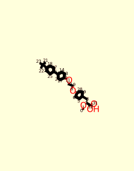 CO[C@@H](Cc1ccc(OCCOc2ccc(-c3ccc(C(C)(C)C)cc3)cc2)cc1)C(=O)O